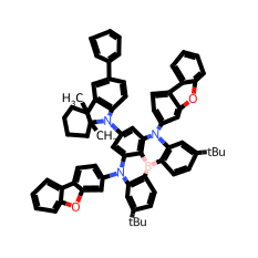 CC(C)(C)c1ccc2c(c1)N(c1ccc3c(c1)oc1ccccc13)c1cc(N3c4ccc(-c5ccccc5)cc4C4(C)CCCCC34C)cc3c1B2c1ccc(C(C)(C)C)cc1N3c1ccc2c(c1)oc1ccccc12